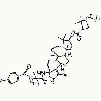 CC(C)C1=C2[C@H]3CC[C@@H]4[C@@]5(C)CC[C@H](OC(=O)[C@H]6C[C@@H](C(=O)O)C6(C)C)C(C)(C)C5CC[C@@]4(C)[C@]3(C)CC[C@@]2(NC(=O)C(C)(C)NC(=O)c2ccc(F)cc2)CC1=O